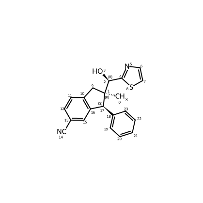 C[C@@]1([C@@H](O)c2nccs2)Cc2ccc(C#N)cc2[C@@H]1c1ccccc1